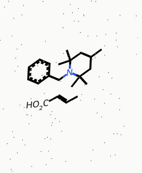 C/C=C/C(=O)O.CC1CC(C)(C)N(Cc2ccccc2)C(C)(C)C1